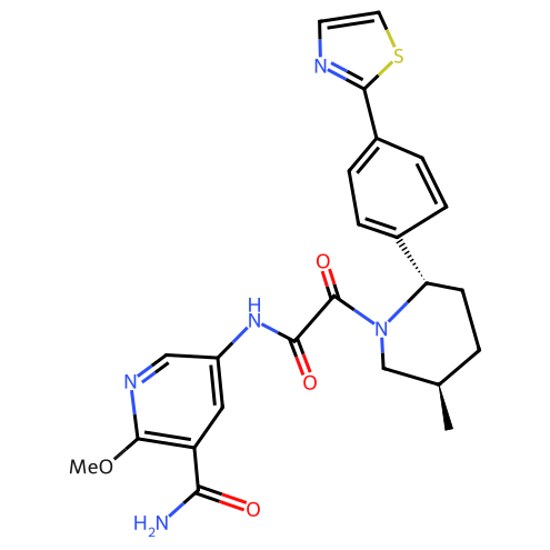 COc1ncc(NC(=O)C(=O)N2C[C@H](C)CC[C@H]2c2ccc(-c3nccs3)cc2)cc1C(N)=O